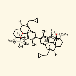 CO[C@]12CC[C@@]3(C[C@@H]1[C@](C)(O)C(C)(C)C)[C@H]1Cc4cc(-c5cc6c7c(c5O)O[C@@]5(C)[C@]78CCN(CC7CC7)[C@H](C6)[C@]86CC[C@@]5(OC)[C@@H]([C@](C)(O)C(C)(C)C)C6)c(O)c5c4[C@@]3(CCN1CC1CC1)[C@H]2O5